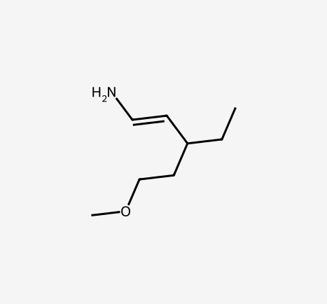 CCC(C=CN)CCOC